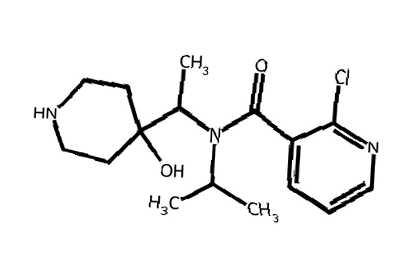 CC(C)N(C(=O)c1cccnc1Cl)C(C)C1(O)CCNCC1